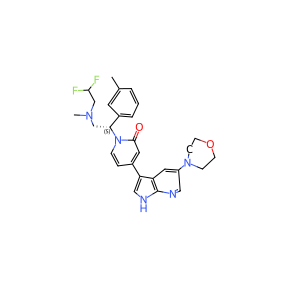 Cc1cccc([C@@H](CN(C)CC(F)F)n2ccc(-c3c[nH]c4ncc(N5CCOCC5)cc34)cc2=O)c1